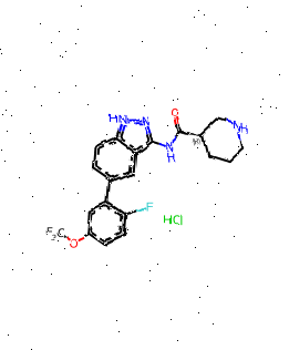 Cl.O=C(Nc1n[nH]c2ccc(-c3cc(OC(F)(F)F)ccc3F)cc12)[C@@H]1CCCNC1